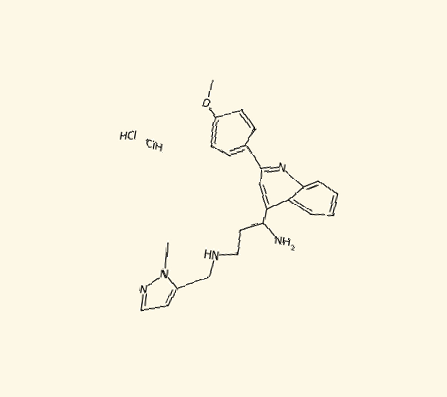 COc1ccc(-c2cc(C(N)CCNCc3ccnn3C)c3ccccc3n2)cc1.Cl.Cl